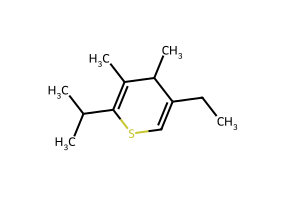 CCC1=CSC(C(C)C)=C(C)C1C